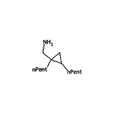 CCCCCC1CC1(CN)CCCCC